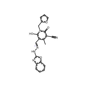 Cc1c(/C=N/Nc2nc3ccccc3o2)c(O)n(Cc2ccco2)c(=O)c1C#N